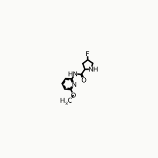 COc1cccc(NC(=O)C2CC(F)CN2)n1